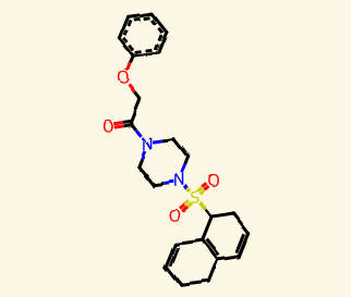 O=C(COc1ccccc1)N1CCN(S(=O)(=O)C2CC=CC3=C2C=CCC3)CC1